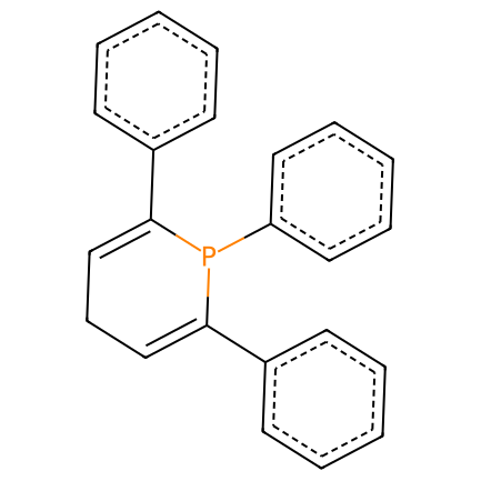 C1=C(c2ccccc2)P(c2ccccc2)C(c2ccccc2)=CC1